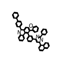 c1ccc(-c2ccc(-c3nc4ccccc4c4c(-c5cccc(-c6cc(-c7cccc8ccccc78)nc(-c7ccccc7)n6)c5)c5c(cc34)oc3ccccc35)cc2)cc1